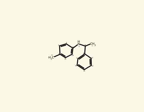 [CH2]c1ccc(NC(C)c2ccccc2)cc1